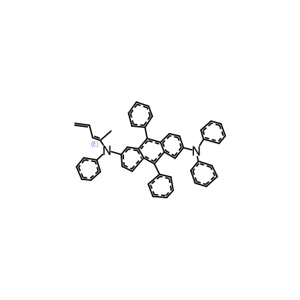 C=C/C=C(\C)N(c1ccccc1)c1ccc2c(-c3ccccc3)c3cc(N(c4ccccc4)c4ccccc4)ccc3c(-c3ccccc3)c2c1